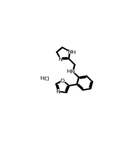 Cl.c1ccc(-c2cnco2)c(NCC2=NCCN2)c1